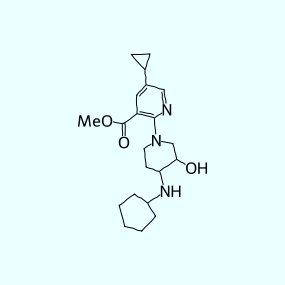 COC(=O)c1cc(C2CC2)cnc1N1CCC(NC2CCCCC2)C(O)C1